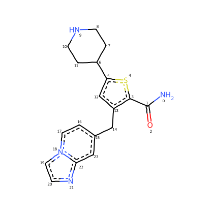 NC(=O)c1sc(C2CCNCC2)cc1Cc1ccn2ccnc2c1